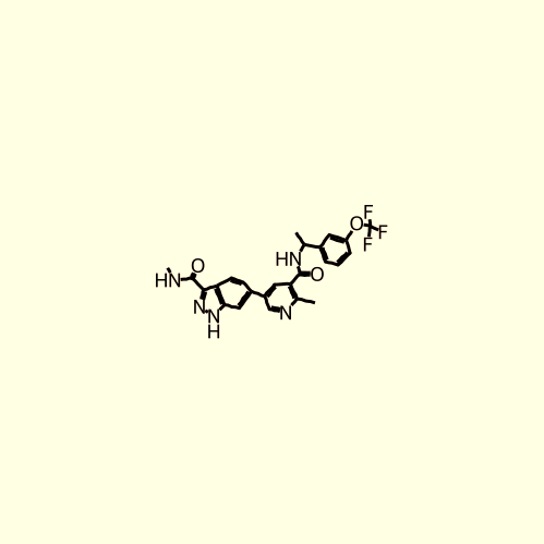 CNC(=O)c1n[nH]c2cc(-c3cnc(C)c(C(=O)NC(C)c4cccc(OC(F)(F)F)c4)c3)ccc12